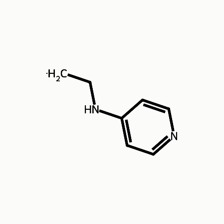 [CH2]CNc1ccncc1